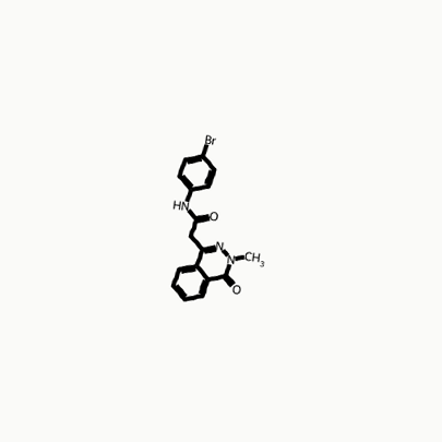 Cn1nc(CC(=O)Nc2ccc(Br)cc2)c2ccccc2c1=O